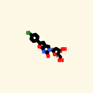 O=c1nc2oc(-c3ccc(Cl)cc3)cc2cn1[C@H]1C[C@H](O)[C@@H](CO)O1